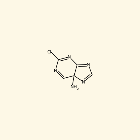 NC12C=NC(Cl)=NC1=NC=N2